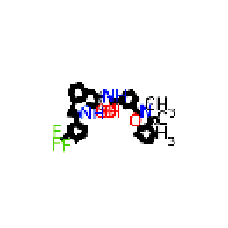 C[C@H](c1ccccc1)N(C)C(=O)c1cccc(C(=O)N[C@@H](Cc2ccccc2)[C@H](O)CNC2(c3cccc(C(F)(F)F)c3)CC2)c1